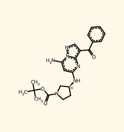 CC(C)(C)OC(=O)N1CC[C@H](Nc2cc(N)n3ncc(C(=O)c4ccccc4)c3n2)C1